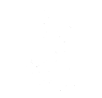 N#CC1(c2ccc(Cl)cc2Cl)CCN(CCC[N+]2(C(N)=O)C(=O)OCC2c2ccc(F)c(F)c2)CC1